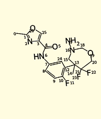 Cc1nc(C(=O)Nc2ccc(F)c(C3(C)CN(N)COCC3(F)F)c2)co1